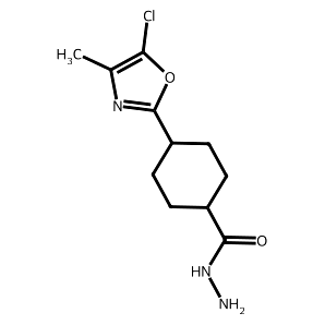 Cc1nc(C2CCC(C(=O)NN)CC2)oc1Cl